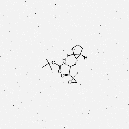 CC(C)(C)OC(=O)N[C@@H](C[C@@H]1[C@@H]2CCC[C@@H]21)C(=O)[C@@]1(C)CO1